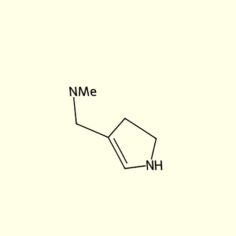 CNCC1=CNCC1